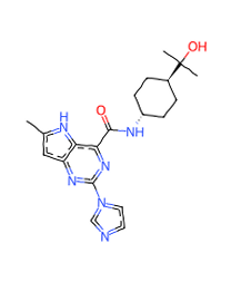 Cc1cc2nc(-n3ccnc3)nc(C(=O)N[C@H]3CC[C@H](C(C)(C)O)CC3)c2[nH]1